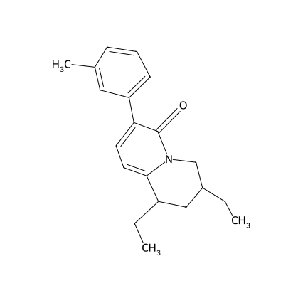 CCC1CC(CC)c2ccc(-c3cccc(C)c3)c(=O)n2C1